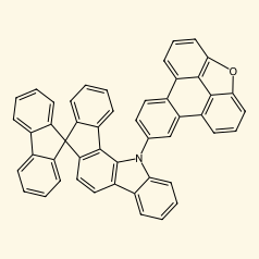 c1ccc2c(c1)-c1ccccc1C21c2ccccc2-c2c1ccc1c3ccccc3n(-c3ccc4c(c3)c3cccc5oc6cccc4c6c53)c21